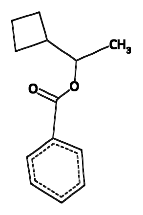 CC(OC(=O)c1ccccc1)C1CCC1